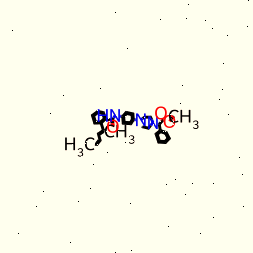 C/C=C\C=C(/C)c1ccccc1C(=O)Nc1ccc(N2CCN(C(C(=O)OC)c3ccccc3)CC2)cc1